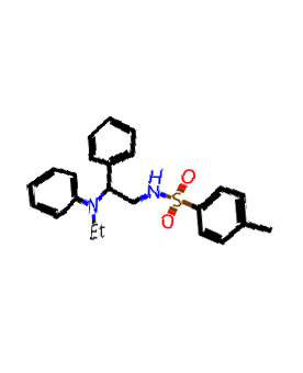 CCN(c1ccccc1)C(CNS(=O)(=O)c1ccc(C)cc1)c1ccccc1